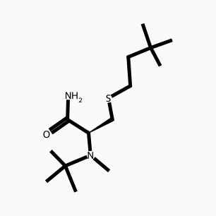 CN([C@H](CSCCC(C)(C)C)C(N)=O)C(C)(C)C